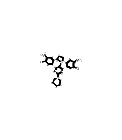 O=[N+]([O-])c1cc([C@H]2CC[C@H](c3ccc(Cl)c([N+](=O)[O-])c3)N2c2cnc(N3CCCCC3)nc2)ccc1Cl